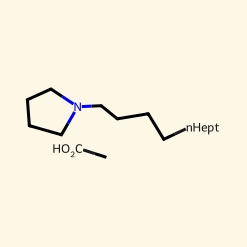 CC(=O)O.CCCCCCCCCCCN1CCCC1